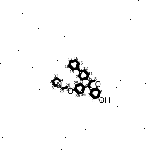 Oc1ccc2c(c1)OC[C@H](c1ccc(-c3ccccc3)cc1)[C@@H]2c1ccc(OCCN2CCCC2)cc1